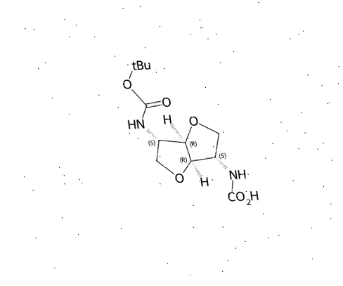 CC(C)(C)OC(=O)N[C@H]1CO[C@H]2[C@@H]1OC[C@@H]2NC(=O)O